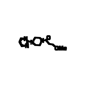 COCCC(=O)N1CCN(c2ncccn2)CC1